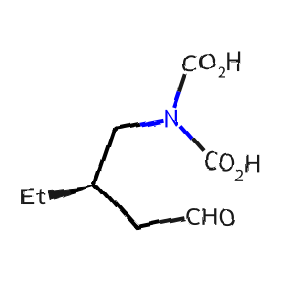 CC[C@H](CC=O)CN(C(=O)O)C(=O)O